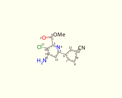 COC(=O)c1nc(-c2cccc(C#N)c2)cc(N)c1Cl